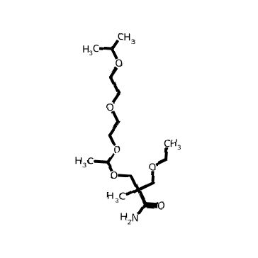 CCOCC(C)(COC(C)OCCOCCOC(C)C)C(N)=O